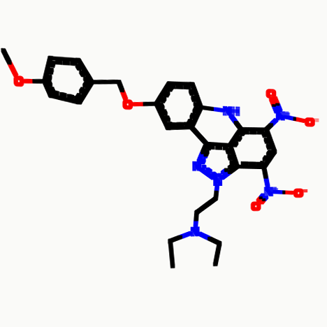 CCN(CC)CCn1nc2c3c(c([N+](=O)[O-])cc([N+](=O)[O-])c31)Nc1ccc(OCc3ccc(OC)cc3)cc1-2